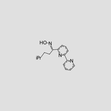 CC(C)CC/C(=N\O)c1cccc(-c2ccccn2)n1